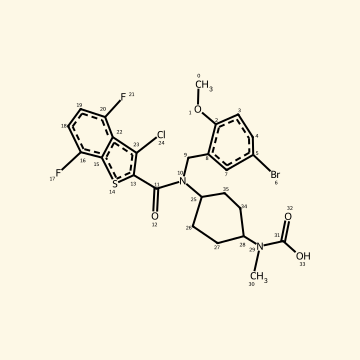 COc1ccc(Br)cc1CN(C(=O)c1sc2c(F)ccc(F)c2c1Cl)C1CCC(N(C)C(=O)O)CC1